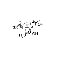 B[C@@H]1O[C@](CO)(CCP(C)(=O)O)[C@H](O)C1O[Si](C)(C)C(C)(C)C